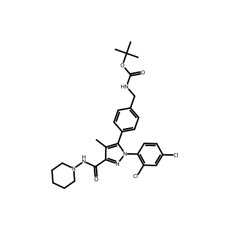 Cc1c(C(=O)NN2CCCCC2)nn(-c2ccc(Cl)cc2Cl)c1-c1ccc(CNC(=O)OC(C)(C)C)cc1